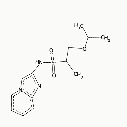 CC(C)OCC(C)S(=O)(=O)Nc1cn2ccccc2n1